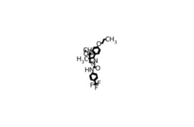 CCCOc1ccc(C2=NN(C(=O)Nc3ccc(C(F)(F)F)cc3)CC2(C)C(=O)OC)cc1